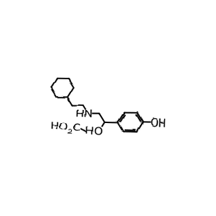 CC(=O)O.Oc1ccc(C(O)CNCCC2CCCCC2)cc1